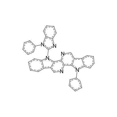 c1ccc(-n2c(-n3c4ccccc4c4cnc5c(ncc6c7ccccc7n(-c7ccccc7)c65)c43)nc3ccccc32)cc1